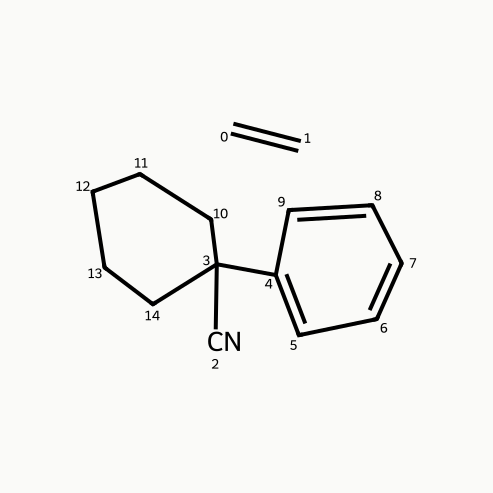 C=C.N#CC1(c2ccccc2)CCCCC1